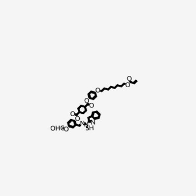 C=CC(=O)OCCCCCCCCOc1ccc(OC(=O)C2CCC(C(=O)Oc3ccc(OC=O)cc3/C=N/N(S)C3=Nc4ccccc4C3)CC2)cc1